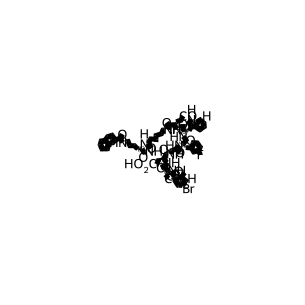 Cc1cc(Br)ccc1S(=O)(=O)N[C@H](CC(=O)O)C(=O)N[C@@H](CCC(=O)O)C(=O)NCC(=O)N[C@@H](Cc1cccc(F)c1)C(=O)N[C@@H](Cc1c[nH]c2ccccc12)C(=O)N[C@@H](CCC(=O)O)C(=O)NCCCCCC(=O)N[C@@H](CCCCNC(=O)c1ccc2ccccc2c1)C(N)=O